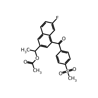 CC(=O)OC(C)c1cc(C(=O)c2ccc(S(C)(=O)=O)cc2)c2cc(F)ccc2c1